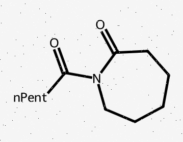 CCCCCC(=O)N1CCCCCC1=O